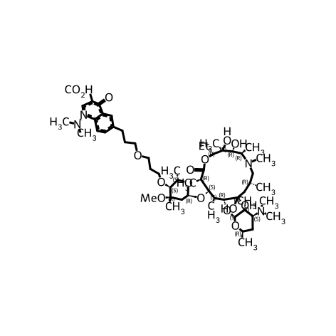 CC[C@H]1OC(=O)[C@H](C)[C@@H](O[C@H]2C[C@@](C)(OC)[C@@H](OCCCOCCCc3ccc4c(c3)c(=O)c(C(=O)O)cn4N(C)C)[C@H](C)O2)[C@H](C)[C@@H](O[C@@H]2O[C@H](C)C[C@H](N(C)C)[C@H]2O)[C@](C)(O)C[C@@H](C)CN(C)[C@H](C)[C@@H](O)[C@]1(C)O